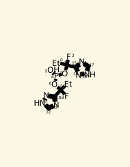 CCC(F)(O[PH](=O)OC(F)(CC)c1nc[nH]n1)c1nc[nH]n1